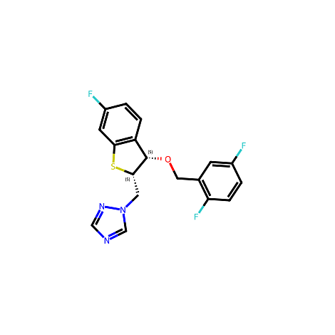 Fc1ccc(F)c(CO[C@H]2c3ccc(F)cc3S[C@H]2Cn2cncn2)c1